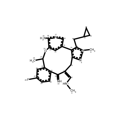 CN/C=C1/Cc2nn(C)c(CC3CC3)c2-c2cnc(N)c(c2)OC(C)c2cc(F)ccc2C1=N